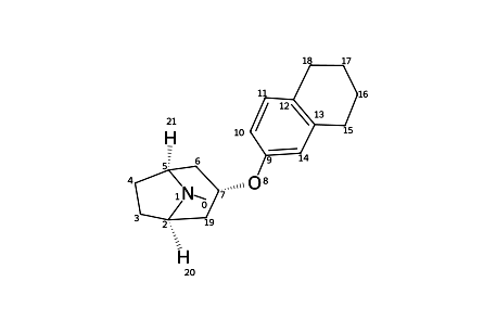 CN1[C@@H]2CC[C@H]1C[C@H](Oc1ccc3c(c1)CCCC3)C2